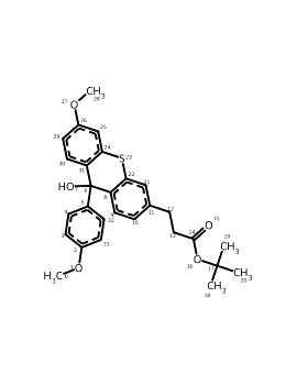 COc1ccc(C2(O)c3ccc(CCC(=O)OC(C)(C)C)cc3Sc3cc(OC)ccc32)cc1